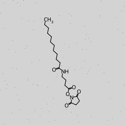 CCCCCCCCCCCC(=O)NCCCC(=O)ON1C(=O)CCC1=O